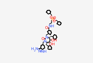 Nc1n[nH]c2ccc(CN3C(=O)N(Cc4cccc(C(=O)NCCCP(=O)(OCc5ccccc5)OCc5ccccc5)c4)[C@H](Cc4ccccc4)[C@H](O)[C@@H](O)[C@H]3Cc3ccccc3)cc12